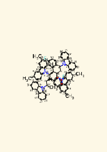 C\C(=C(CC(C)n1c2ccccc2c2ccccc21)/C(=C(\C(=C\C(C)n1c2ccccc2c2ccccc21)c1cccc(F)c1)n1c2ccc(C)cc2c2cc(C)ccc21)c1cccc(F)c1)n1c2ccc(C)cc2c2cc(C)ccc21